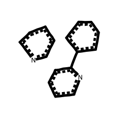 c1ccc(-c2ccccn2)cc1.c1ccncc1